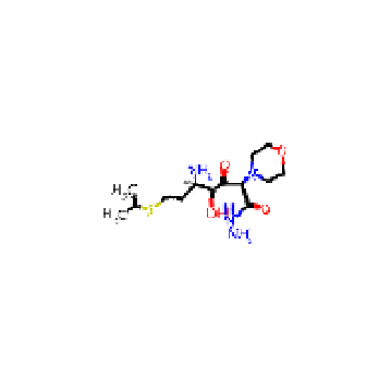 CC(C)SCC[C@@H](N)C(O)C(=O)C(C(=O)NN)N1CCOCC1